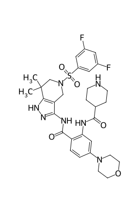 CC1(C)CN(S(=O)(=O)c2cc(F)cc(F)c2)Cc2c(NC(=O)c3ccc(N4CCOCC4)cc3NC(=O)C3CCNCC3)n[nH]c21